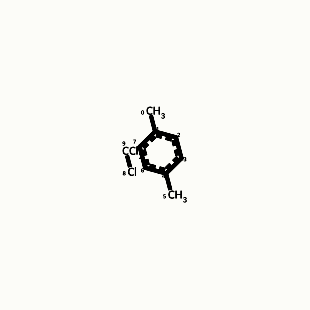 Cc1ccc(C)cc1.ClC(Cl)(Cl)Cl